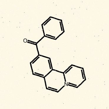 O=C(c1ccccc1)c1ccc2cc[n+]3ccccc3c2c1